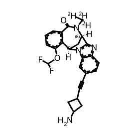 [2H]C([2H])([2H])N1C(=O)c2cccc(OC(F)F)c2[C@H]2C[C@@H]1c1nc3ccc(C#CC4CC(N)C4)cc3n12